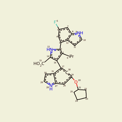 CC(C)c1c(-c2cc(F)cc3[nH]ccc23)[nH]c(C(=O)O)c1-c1cc(OC2CCCC2)cc2[nH]ccc12